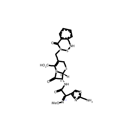 CO/N=C(\C(=O)N[C@@H]1C(=O)N2C(C(=O)O)=C(CN3SNc4ccccc4C3=O)CS[C@H]12)c1csc(N)n1